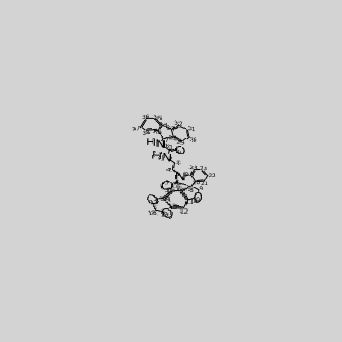 O=C(NCCN1C(=O)C2(COc3cc4c(cc32)OCO4)c2ccccc21)NC1c2ccccc2-c2ccccc21